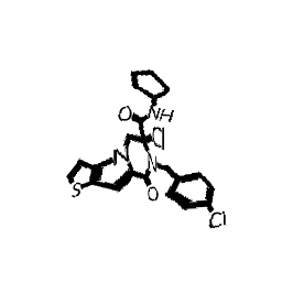 O=C1c2cc3sccc3n2CC(Cl)(C(=O)NC2CCCC2)N1Cc1ccc(Cl)cc1